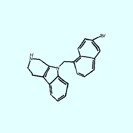 Brc1ccc2c(Cn3c4c(c5ccccc53)CCNC4)cccc2c1